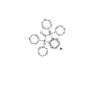 O=C([PH](c1ccccc1)(c1ccccc1)c1ccccc1)[PH](c1ccccc1)(c1ccccc1)c1ccccc1.[Ir]